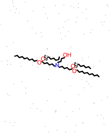 CCCCCCCCCCOC(CCCCCN(CCCCO)CCCCCC(OCCCCCCCCCC)O[Si](C)(C)CCCCCC)O[Si](C)(C)CCCCCC